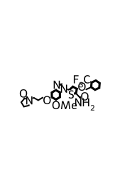 COc1cc2c(cc1OCCCN1CCCC1=O)ncn2-c1cc(OCc2ccccc2C(F)(F)F)c(C(N)=O)s1